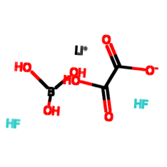 F.F.O=C([O-])C(=O)O.OB(O)O.[Li+]